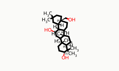 CC1(C)CC[C@]2(CO)CC[C@@H]3[C@H]([C@H](O)C[C@H]4[C@@]3(C)CC[C@H]3C(C)(C)[C@@H](O)CC[C@]43C)[C@@H]2C1